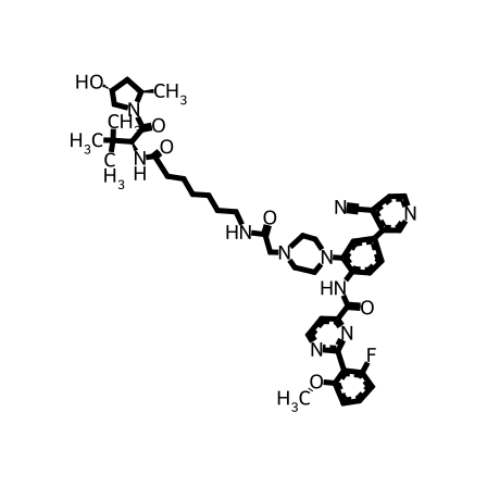 COc1cccc(F)c1-c1nccc(C(=O)Nc2ccc(-c3cnccc3C#N)cc2N2CCN(CC(=O)NCCCCCCC(=O)N[C@H](C(=O)N3C[C@H](O)C[C@H]3C)C(C)(C)C)CC2)n1